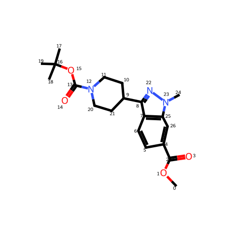 COC(=O)c1ccc2c(C3CCN(C(=O)OC(C)(C)C)CC3)nn(C)c2c1